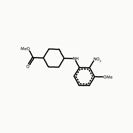 COC(=O)C1CCC(Nc2cccc(OC)c2[N+](=O)[O-])CC1